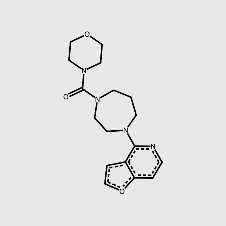 O=C(N1CCOCC1)N1CCCN(c2nccc3occc23)CC1